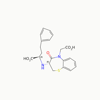 O=C(O)CN1C(=O)[C@@H](N[C@H](CCc2ccccc2)C(=O)O)CSc2ccccc21